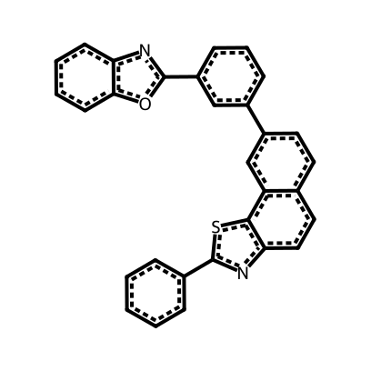 c1ccc(-c2nc3ccc4ccc(-c5cccc(-c6nc7ccccc7o6)c5)cc4c3s2)cc1